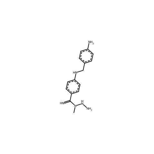 CN(NN)C(=N)c1ccc(NCc2ccc(N)cc2)cc1